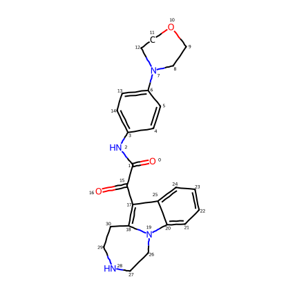 O=C(Nc1ccc(N2CCOCC2)cc1)C(=O)c1c2n(c3ccccc13)CCNCC2